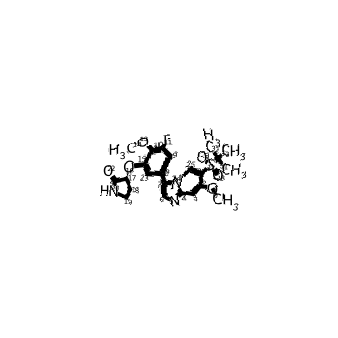 COc1cc2ncc(-c3cc(F)c(OC)c(O[C@@H]4CCNC4=O)c3)n2cc1S(=O)(=O)C(C)(C)C